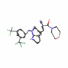 N#C/C(=C\c1cn(Cc2cc(C(F)(F)F)cc(C(F)(F)F)c2)c2ncccc12)C(=O)N1CCOCC1